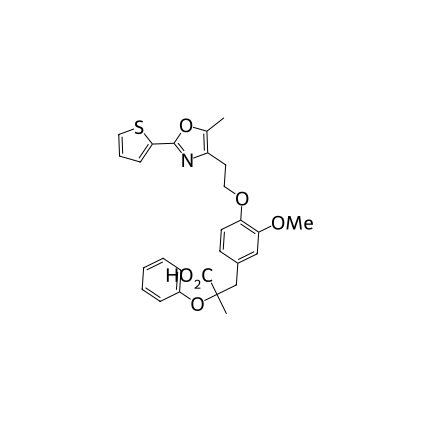 COc1cc(CC(C)(Oc2ccccc2)C(=O)O)ccc1OCCc1nc(-c2cccs2)oc1C